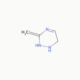 C=C1N=CCNN1